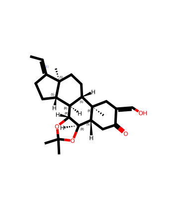 C/C=C1\CC[C@H]2[C@@H]3[C@H]4OC(C)(C)O[C@@H]4[C@H]4CC(=O)C(=CO)C[C@]4(C)[C@H]3CC[C@]12C